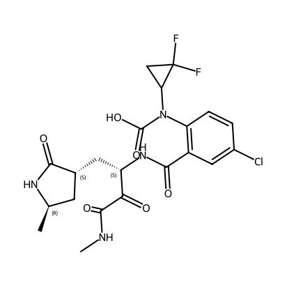 CNC(=O)C(=O)[C@H](C[C@@H]1C[C@@H](C)NC1=O)NC(=O)c1cc(Cl)ccc1N(C(=O)O)C1CC1(F)F